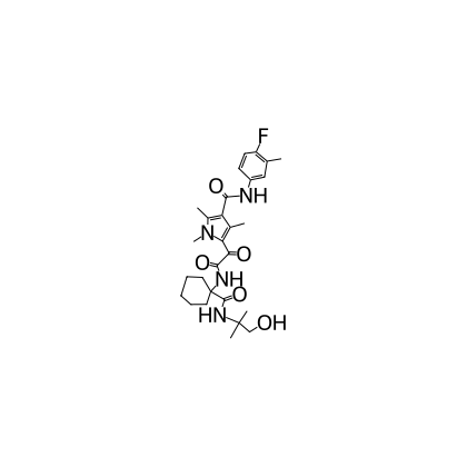 Cc1cc(NC(=O)c2c(C)c(C(=O)C(=O)NC3(C(=O)NC(C)(C)CO)CCCCC3)n(C)c2C)ccc1F